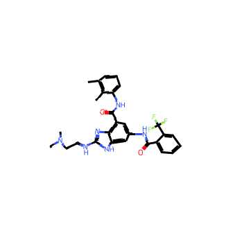 Cc1cccc(NC(=O)c2cc(NC(=O)c3ccccc3C(F)(F)F)cc3[nH]c(NCCN(C)C)nc23)c1C